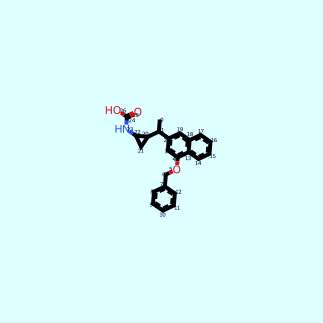 CC(c1cc(OCc2ccccc2)c2ccccc2c1)C1CC1NC(=O)O